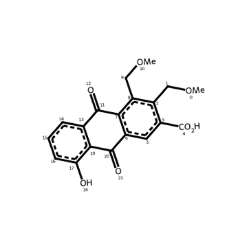 COCc1c(C(=O)O)cc2c(c1COC)C(=O)c1cccc(O)c1C2=O